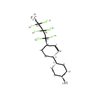 CC[C@H]1CC[C@H]([C@H]2CC[C@H](C(F)(F)C(F)(F)C(F)(F)C(F)(F)F)CC2)CC1